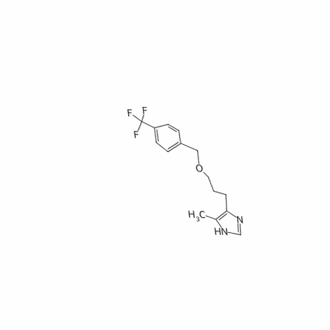 Cc1[nH]cnc1CCCOCc1ccc(C(F)(F)F)cc1